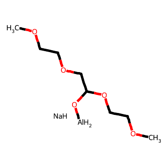 COCCOCC([O][AlH2])OCCOC.[NaH]